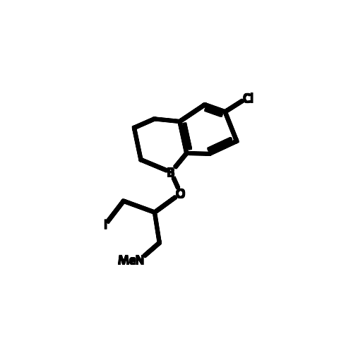 CNCC(CI)OB1CCCc2cc(Cl)ccc21